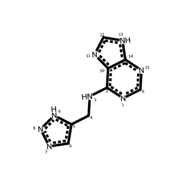 c1nc(NCc2cnn[nH]2)c2nc[nH]c2n1